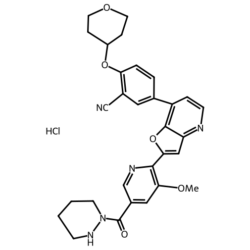 COc1cc(C(=O)N2CCCCN2)cnc1-c1cc2nccc(-c3ccc(OC4CCOCC4)c(C#N)c3)c2o1.Cl